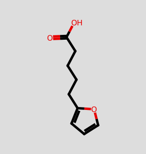 O=C(O)CCCCc1ccco1